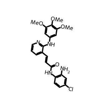 COc1cc(Nc2ncccc2/C=C/C(=O)Nc2ccc(Cl)cc2N)cc(OC)c1OC